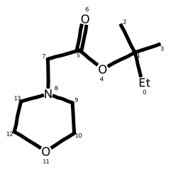 CCC(C)(C)OC(=O)CN1CCOCC1